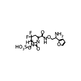 NC(CONC(=O)[C@@H]1CC(F)(F)[C@@H]2CN1C(=O)N2OS(=O)(=O)O)c1ccco1